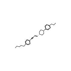 CCCCCc1ccc(C#C/C=C/[C@H]2CC[C@H](c3ccc(CCC)cc3)CC2)cc1